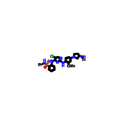 CCN[C@H]1CCN(c2ccc(Nc3ncc(Cl)c(Nc4ccccc4S(=O)(=O)NC(C)C)n3)c(OC)c2)C1